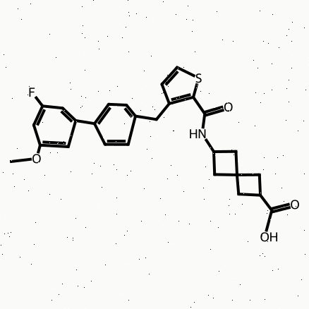 COc1cc(F)cc(-c2ccc(Cc3ccsc3C(=O)NC3CC4(C3)CC(C(=O)O)C4)cc2)c1